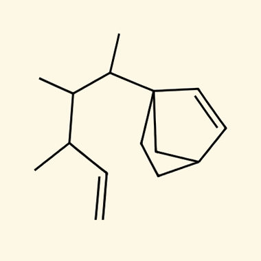 C=CC(C)C(C)C(C)C12C=CC(CC1)C2